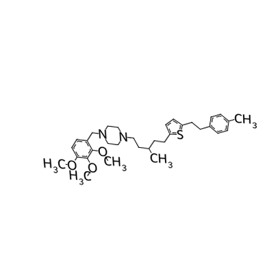 COc1ccc(CN2CCN(CCC(C)CCc3ccc(CCc4ccc(C)cc4)s3)CC2)c(OC)c1OC